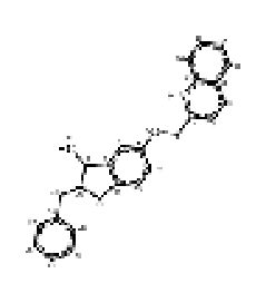 OC1c2cc(OCc3ccc4ccccc4n3)ccc2CC1Cc1ccccc1